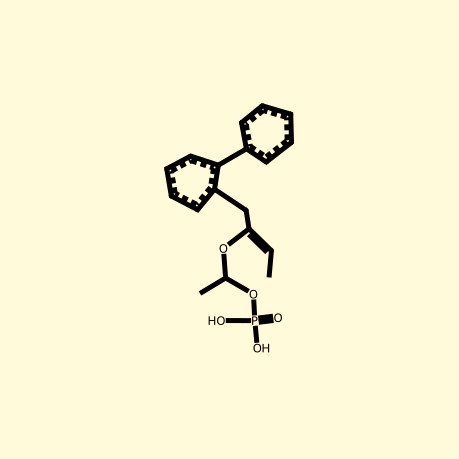 CC=C(Cc1ccccc1-c1ccccc1)OC(C)OP(=O)(O)O